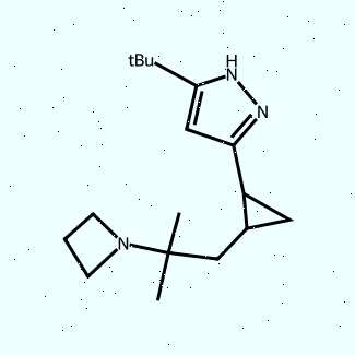 CC(C)(C)c1cc(C2CC2CC(C)(C)N2CCC2)n[nH]1